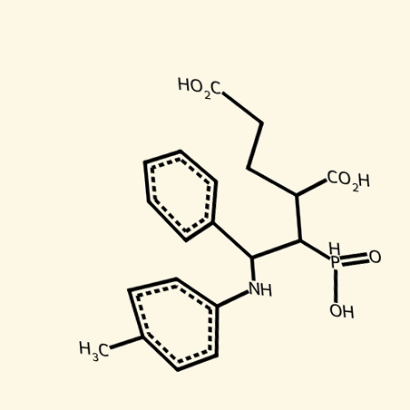 Cc1ccc(NC(c2ccccc2)C(C(CCC(=O)O)C(=O)O)[PH](=O)O)cc1